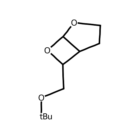 CC(C)(C)OCC1OC2OCCC12